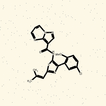 COc1ccc(Cl)cc1-c1nc(C=C(C)C)sc1NC(=O)c1cnn2cccnc12